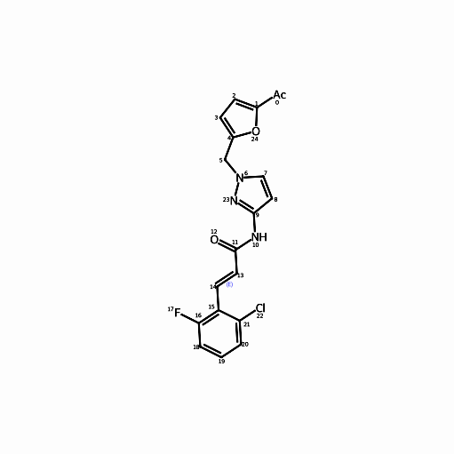 CC(=O)c1ccc(Cn2ccc(NC(=O)/C=C/c3c(F)cccc3Cl)n2)o1